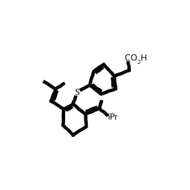 CC(C)=CC1=C(Sc2ccc(CC(=O)O)cc2)/C(=C(\C)C(C)C)CCC1